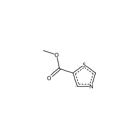 COC(=O)c1[c]ncs1